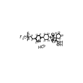 Cl.O=C(NO)C1(S(=O)(=O)N2CCC(c3ccc(CCC(F)(F)C(F)(F)F)cn3)CC2)CCCC1